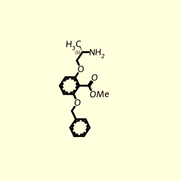 COC(=O)c1c(OCc2ccccc2)cccc1OC[C@H](C)N